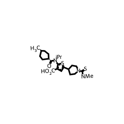 CNC(=S)N1CCC(c2cc(C(=O)O)c(N(C(=O)[C@H]3CC[C@H](C)CC3)C(C)C)s2)CC1